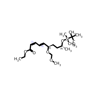 CCOC(=O)/C=C\C=C\[C@@H](CC[C@@H](C)O[Si](C)(C)C(C)(C)C)OCOC